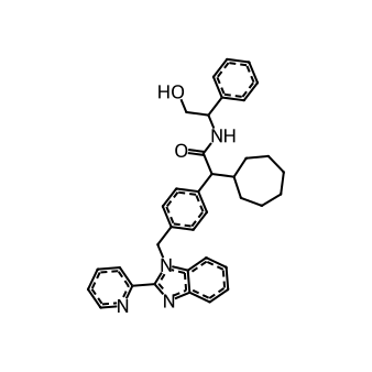 O=C(NC(CO)c1ccccc1)C(c1ccc(Cn2c(-c3ccccn3)nc3ccccc32)cc1)C1CCCCCC1